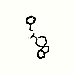 O=C(OCc1ccccc1)N1CCCC2(CCc3ccccc32)CC1